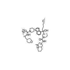 CNC[C@@H](CC1CCOCC1)NC(=O)N1CCCCC1.CNC[C@H](CC1CCCCC1)NC(=O)N1CCC[C@@H]([C@@](O)(CCCCOC)c2cccc3sccc23)C1